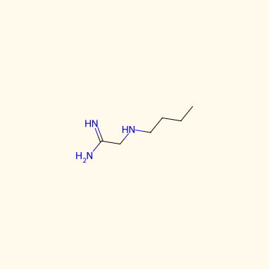 CCCCNCC(=N)N